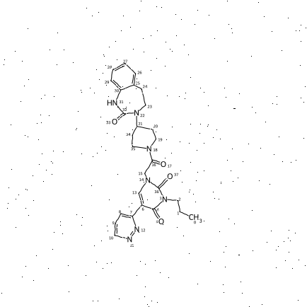 CCCn1c(=O)c(-c2cccnn2)cn(CC(=O)N2CCC(N3CCc4ccccc4NC3=O)CC2)c1=O